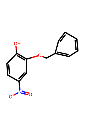 O=[N+]([O-])c1ccc(O)c(OCc2ccccc2)c1